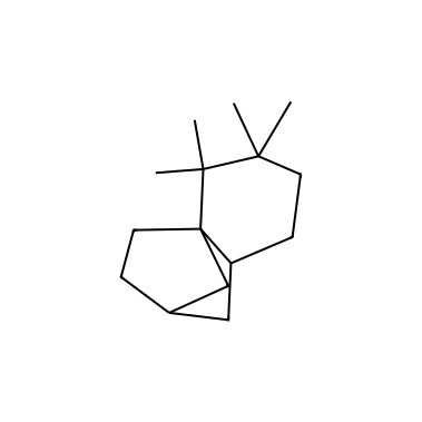 CC1(C)CCC2CC3CCC2(C3)C1(C)C